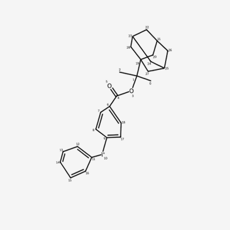 CC(C)(OC(=O)c1ccc([I+]c2ccccc2)cc1)C12CC3CC(CC(C3)C1)C2